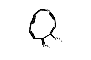 C=C1/C=C\C=C/C/N=C\C=C/1C